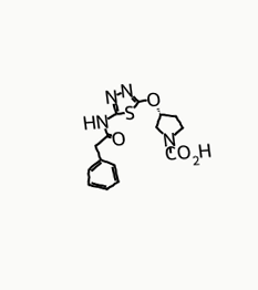 O=C(Cc1ccccc1)Nc1nnc(O[C@@H]2CCN(C(=O)O)C2)s1